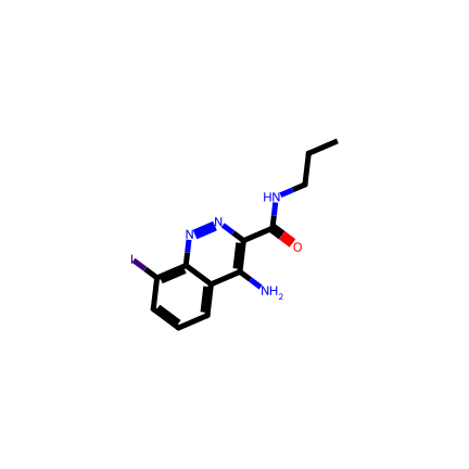 CCCNC(=O)c1nnc2c(I)cccc2c1N